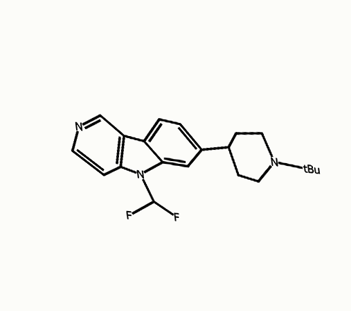 CC(C)(C)N1CCC(c2ccc3c4cnccc4n(C(F)F)c3c2)CC1